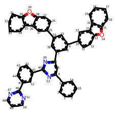 c1ccc(-c2cc(-c3cc(-c4ccc5oc6ccccc6c5c4)cc(-c4ccc5oc6ccccc6c5c4)c3)nc(-c3cccc(-c4ncccn4)c3)n2)cc1